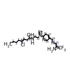 C=CCC/C(Cl)=C/CC(O)NCCN(CC)C1CC=C(/C=N/C=C(\N)C(F)(F)F)C=N1